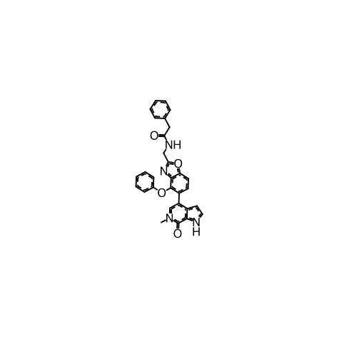 Cn1cc(-c2ccc3oc(CNC(=O)Cc4ccccc4)nc3c2Oc2ccccc2)c2cc[nH]c2c1=O